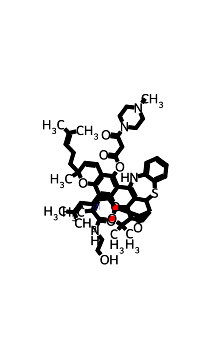 CC(C)=CCCC1(C)C=Cc2c(c(CC=C(C)C)c3c(c2OC(=O)CC(=O)N2CCN(C)CC2)C2=C4C(Sc5ccccc5N2)C2CC5C(C)(C)OC(C/C=C(/C)C(=O)NCCO)(C2=O)C45O3)O1